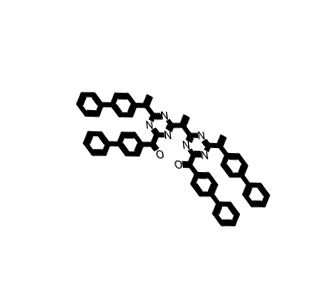 C=C(c1ccc(-c2ccccc2)cc1)c1nc(C(=C)c2nc(C(=C)c3ccc(-c4ccccc4)cc3)nc(C(=O)c3ccc(-c4ccccc4)cc3)n2)nc(C(=O)c2ccc(-c3ccccc3)cc2)n1